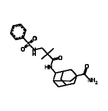 CC(C)(CNS(=O)(=O)c1ccccc1)C(=O)NC1C2CC3CC1CC(C(N)=O)(C3)C2